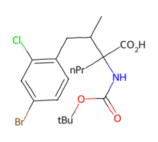 CCCC(NC(=O)OC(C)(C)C)(C(=O)O)C(C)Cc1ccc(Br)cc1Cl